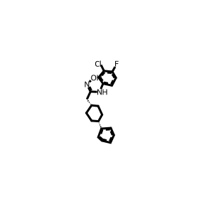 O/N=C(/C[C@H]1CC[C@@H](c2ccccc2)CC1)Nc1ccc(F)c(Cl)c1